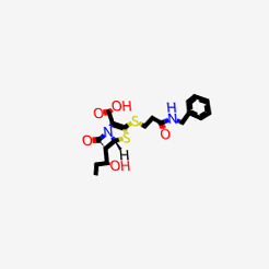 CC[C@H](O)[C@@H]1C(=O)N2C(C(=O)O)=C(SCCC(=O)NCc3ccccc3)S[C@H]12